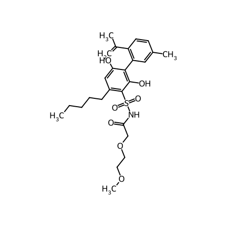 C=C(C)c1ccc(C)cc1-c1c(O)cc(CCCCC)c(S(=O)(=O)NC(=O)COCCOC)c1O